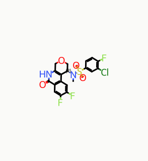 CN([C@H]1COCc2[nH]c(=O)c3cc(F)c(F)cc3c21)S(=O)(=O)c1ccc(F)c(Cl)c1